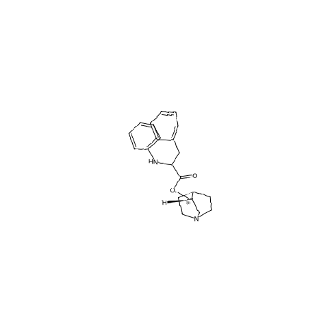 O=C(O[C@H]1CN2CCC1CC2)C(Cc1ccccc1)Nc1ccccc1